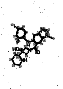 Cn1nnc2cc(Nc3ccc(I)cc3F)c(C(=O)N3CC(O)([C@@H]4CCCCN4)C3)cc21